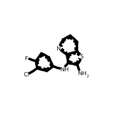 Nc1sc2cccnc2c1Nc1ccc(F)c(Cl)c1